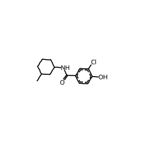 CC1CCCC(NC(=O)c2ccc(O)c(Cl)c2)C1